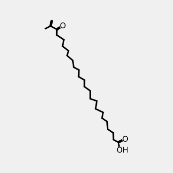 C=C(C)C(=O)CCCCCCCCCCCCCCCCCCCCCC(=O)O